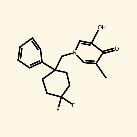 Cc1cn(CC2(c3ccccc3)CCC(F)(F)CC2)cc(O)c1=O